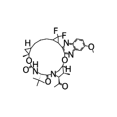 COc1ccc2nc3c(nc2c1)O[C@H]1CN(C(=O)[C@H](C(C)(C)C)NC(=O)O[C@]2(C)C[C@H]2CCCC2C3C2(F)F)[C@H](C(C)=O)[C@@H]1C